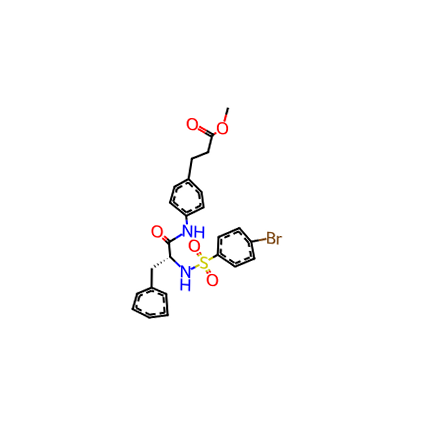 COC(=O)CCc1ccc(NC(=O)[C@@H](Cc2ccccc2)NS(=O)(=O)c2ccc(Br)cc2)cc1